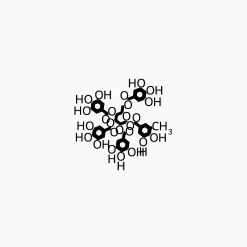 Cc1cc(C(=O)OC2OC(COC(=O)c3cc(O)c(O)c(O)c3)C(OC(=O)c3cc(O)c(O)c(O)c3)C(OC(=O)c3cc(O)c(O)c(O)c3)C2OC(=O)c2cc(O)c(O)c(O)c2)cc(O)c1O